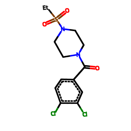 CCS(=O)(=O)N1CCN(C(=O)c2ccc(Cl)c(Cl)c2)CC1